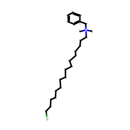 C[N+](C)(CCCCCCCCCCCCCCCCCl)Cc1ccccc1